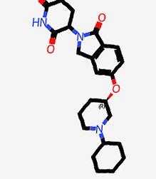 O=C1CCC(N2Cc3cc(O[C@@H]4CCCN(C5CCCCC5)C4)ccc3C2=O)C(=O)N1